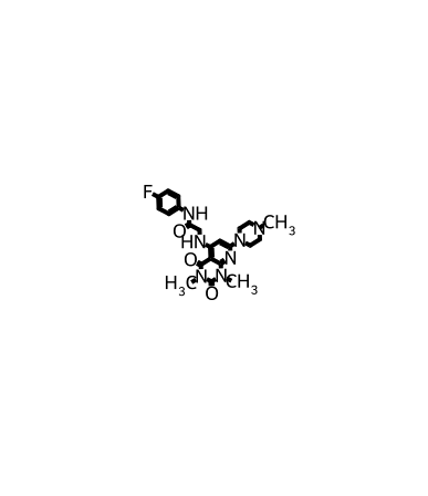 CN1CCN(c2cc(NCC(=O)Nc3ccc(F)cc3)c3c(=O)n(C)c(=O)n(C)c3n2)CC1